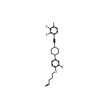 C=CCCCOc1ccc(C2CCC(C#Cc3ccc(C)c(F)c3F)CC2)cc1F